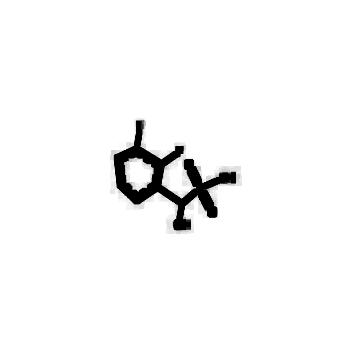 O=S(=O)(O)C(O)c1cccc(F)c1F